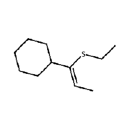 C/C=C(\SCC)C1CCCCC1